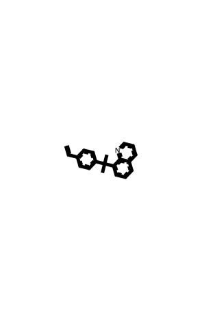 C=Cc1ccc(C(C)(C)c2cccc3cccnc23)cc1